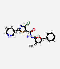 N#Cc1cc(-c2ccccc2)oc1NC(=O)c1sc(-c2cccnc2)nc1Cl